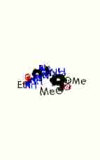 CCNC(=O)Nc1ccc2ncc(Nc3ccc(C(=O)OC)c(OC)c3)nc2n1